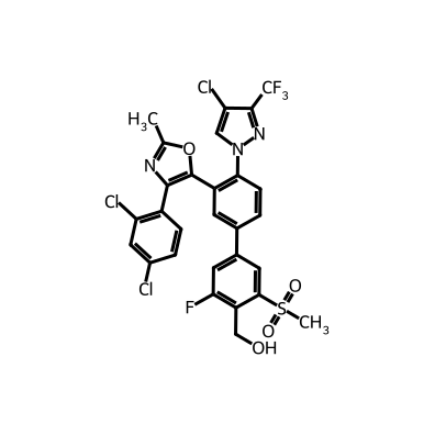 Cc1nc(-c2ccc(Cl)cc2Cl)c(-c2cc(-c3cc(F)c(CO)c(S(C)(=O)=O)c3)ccc2-n2cc(Cl)c(C(F)(F)F)n2)o1